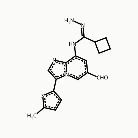 Cc1ccc(-c2cnc3c(N/C(=N\N)C4CCC4)cc(C=O)cn23)s1